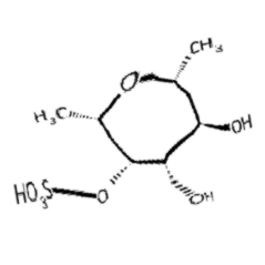 C[C@@H]1O[C@H](C)[C@@H](O)[C@H](O)[C@@H]1OS(=O)(=O)O